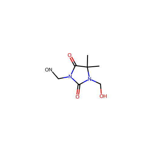 CC1(C)C(=O)N(CN=O)C(=O)N1CO